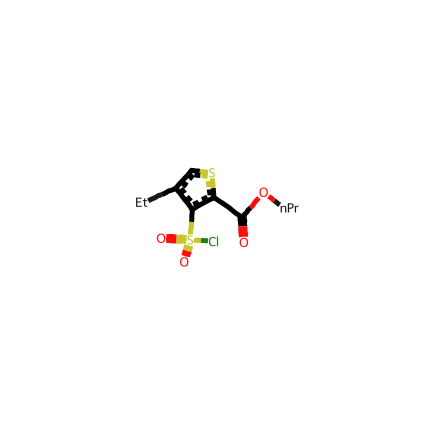 CCCOC(=O)c1scc(CC)c1S(=O)(=O)Cl